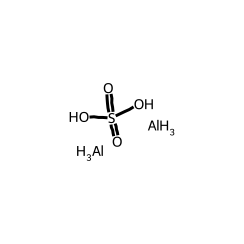 O=S(=O)(O)O.[AlH3].[AlH3]